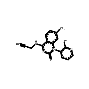 C#CCNc1nc(=O)n(-c2cccnc2C(C)C)c2cc(C(F)(F)F)ccc12